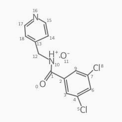 O=C(c1cc(Cl)cc(Cl)c1)[NH+]([O-])Cc1ccncc1